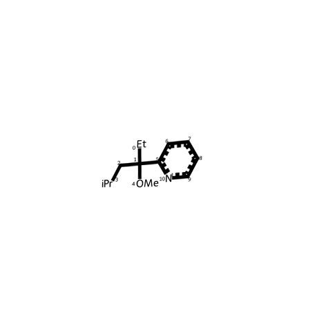 CCC(CC(C)C)(OC)c1ccccn1